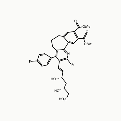 COC(=O)c1cc2c(cc1C(=O)OC)-c1nc(C(C)C)c(/C=C/[C@@H](O)C[C@@H](O)CC(=O)O)c(-c3ccc(F)cc3)c1CCC2